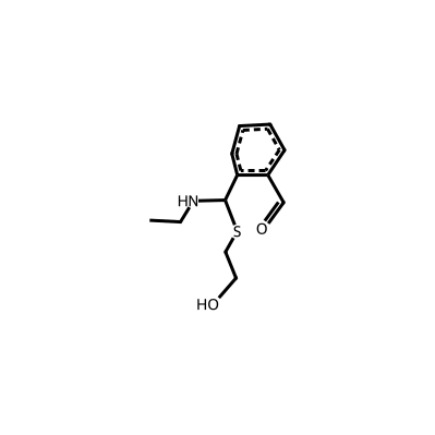 CCNC(SCCO)c1ccccc1C=O